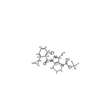 CC(C)(C)OC(=O)N1CCCc2c1c(I)nn2C(=O)c1c(Cl)cccc1C1CC1